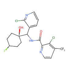 O=C(NC(c1cccnc1Cl)[C@]1(O)CC[C@@H](F)CC1)c1nccc(C(F)(F)F)c1Cl